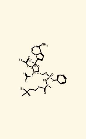 CCC(=O)O[C@H]1[C@@H](OC(=O)CC)[C@](C#N)(c2ccc3c(N)ncnn23)O[C@@H]1COP(=O)(N[C@@H](C)C(=O)OCCC(C)(C)CC)Oc1ccccc1